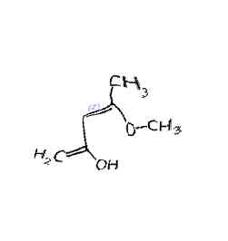 C=C(O)/C=C(/C)OC